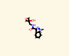 Cn1nc(C(=O)NCC2(O)COC2)c2ccccc21